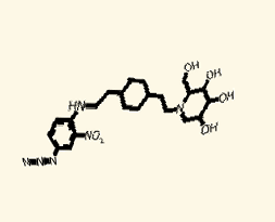 [N-]=[N+]=Nc1ccc(NCCC2CCC(CCN3CC(O)C(O)C(O)C3CO)CC2)c([N+](=O)[O-])c1